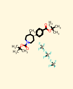 C[C@@H]1CCN(C(=O)OC(C)(C)C)CC[C@H]1c1ccc(C(=O)OC(C)(C)C)cc1.F[B-](F)(F)F.F[B-](F)(F)F.F[B-](F)(F)F